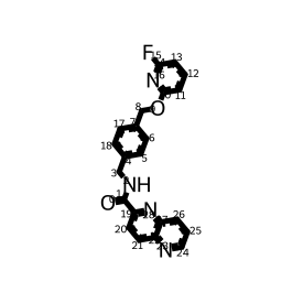 O=C(NCc1ccc(COc2cccc(F)n2)cc1)c1ccc2ncccc2n1